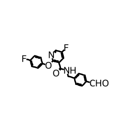 O=Cc1ccc(CNC(=O)c2cc(F)cnc2Oc2ccc(F)cc2)cc1